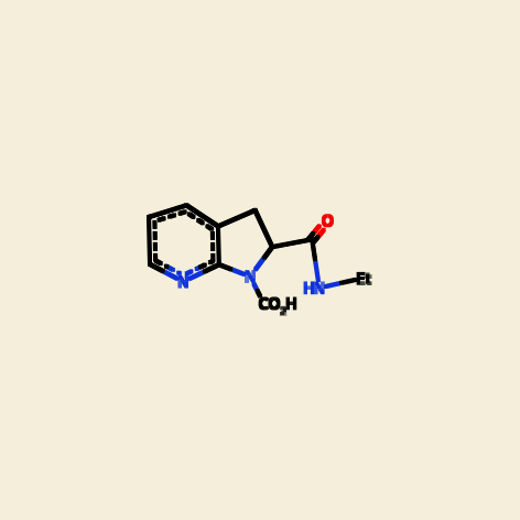 CCNC(=O)C1Cc2cccnc2N1C(=O)O